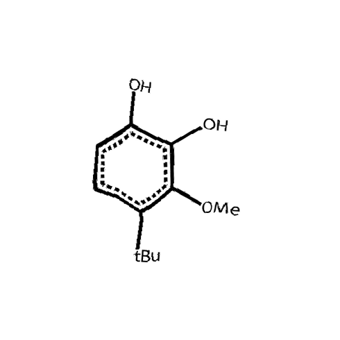 COc1c(C(C)(C)C)ccc(O)c1O